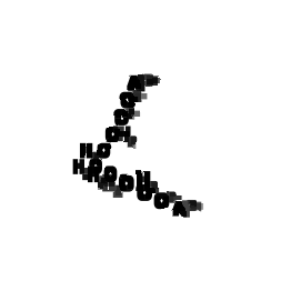 O.O.O.O.O.O.[Al+3].[Al+3].[O-2].[O-2].[O-2]